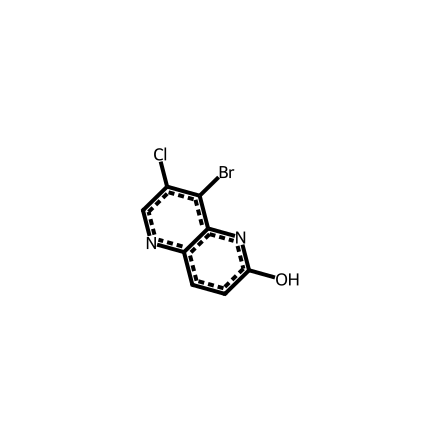 Oc1ccc2ncc(Cl)c(Br)c2n1